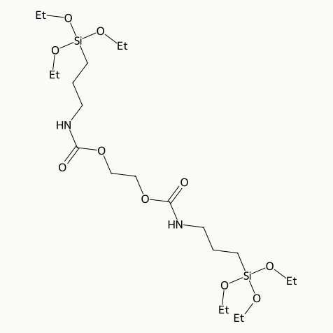 CCO[Si](CCCNC(=O)OCCOC(=O)NCCC[Si](OCC)(OCC)OCC)(OCC)OCC